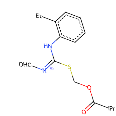 CCc1ccccc1N/C(=N\C=O)SCOC(=O)C(C)C